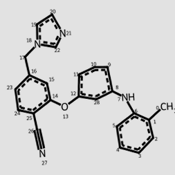 Cc1ccccc1Nc1cccc(Oc2cc(Cn3ccnc3)ccc2C#N)c1